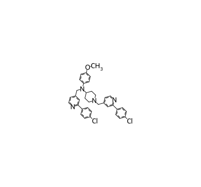 COc1ccc(N(Cc2ccnc(-c3ccc(Cl)cc3)c2)C2CCN(Cc3ccnc(-c4ccc(Cl)cc4)c3)CC2)cc1